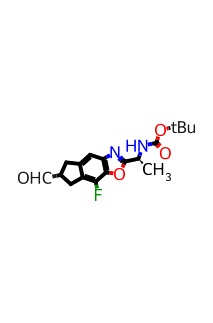 C[C@@H](NC(=O)OC(C)(C)C)c1nc2cc3c(c(F)c2o1)CC(C=O)C3